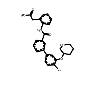 O=C(O)Cc1ccccc1NC(=O)c1cccc(-c2ccc(Cl)c(OC3CCCNC3)c2)c1